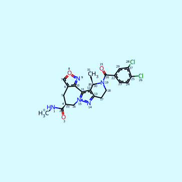 CNC(=O)[C@H]1Cc2conc2-c2c3c(nn2C1)CCN(C(=O)c1ccc(Cl)c(Cl)c1)[C@@H]3C